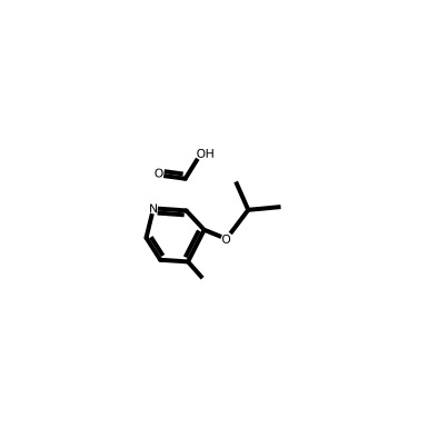 Cc1ccncc1OC(C)C.O=CO